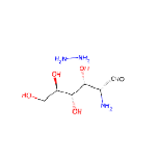 NN.N[C@@H](C=O)[C@@H](O)[C@H](O)[C@H](O)CO